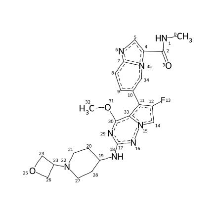 CNC(=O)c1cnc2ccc(-c3c(F)cn4nc(NC5CCN(C6COC6)CC5)nc(OC)c34)cn12